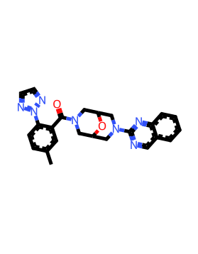 Cc1ccc(-n2nccn2)c(C(=O)N2CC3CN(c4ncc5ccccc5n4)CC(C2)O3)c1